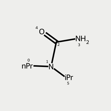 [CH2]CCN(C(N)=O)C(C)C